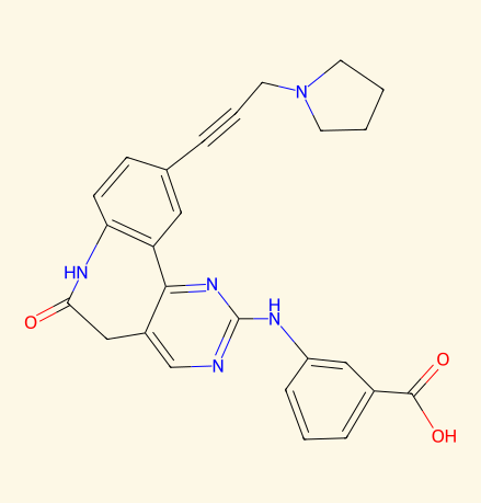 O=C1Cc2cnc(Nc3cccc(C(=O)O)c3)nc2-c2cc(C#CCN3CCCC3)ccc2N1